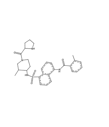 Cc1ccccc1C(=O)Nc1cccc2c(S(=O)(=O)NC3CCN(C(=O)C4CCCN4)CC3C)cccc12